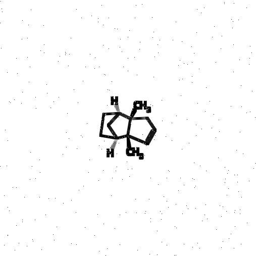 C[C@@]12CC=C[C@]1(C)[C@H]1CC[C@@H]2C1